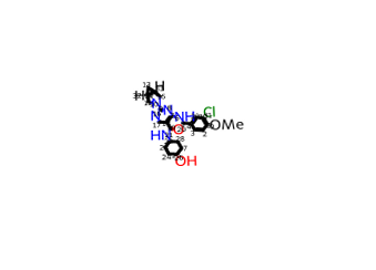 COc1ccc(CNc2nc(N3C[C@@H]4C[C@H]4C3)ncc2C(=O)NC2CCC(O)CC2)cc1Cl